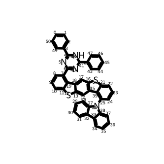 c1ccc(C2=NC(c3cccc4sc5cc6c(cc5c34)sc3cccc(-n4c5ccccc5c5ccccc54)c36)=NC(c3ccccc3)N2)cc1